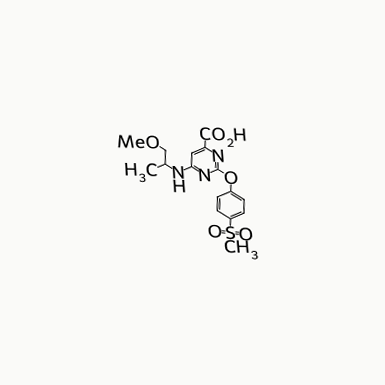 COCC(C)Nc1cc(C(=O)O)nc(Oc2ccc(S(C)(=O)=O)cc2)n1